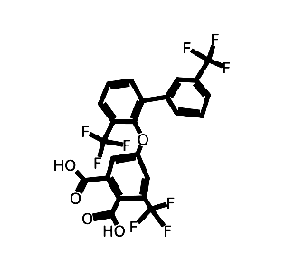 O=C(O)c1cc(Oc2c(-c3cccc(C(F)(F)F)c3)cccc2C(F)(F)F)cc(C(F)(F)F)c1C(=O)O